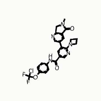 CN1Cc2ncc(-c3cc(C(=O)Nc4ccc(OC(F)(F)Cl)cc4)cnc3N3CCC3)cc2C1=O